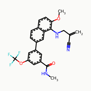 C=C(C#N)CNc1c(OC)ccc2ccc(-c3cc(OC(F)(F)F)cc(C(=O)NC)c3)cc12